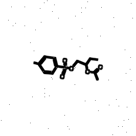 CCC(COS(=O)(=O)c1ccc(C)cc1)OC(C)=O